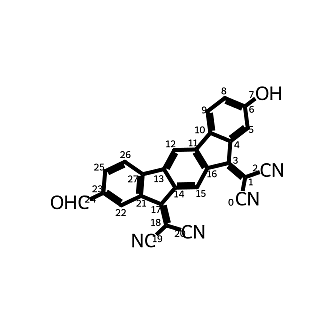 N#CC(C#N)=C1c2cc(O)ccc2-c2cc3c(cc21)C(=C(C#N)C#N)c1cc(C=O)ccc1-3